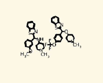 CN1CCC(OC(c2ccc(OC(F)(F)F)cc2)c2nc3ccccc3s2)CC1.COc1cccc(C(NC2CCN(C)CC2)c2nc3ccccc3s2)c1